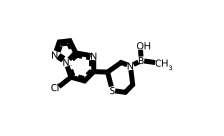 CB(O)N1CCSC(c2cc(Cl)n3nccc3n2)C1